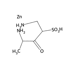 CC(N)C(=O)C(CN)S(=O)(=O)O.[Zn]